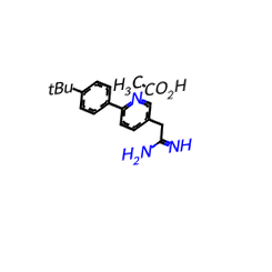 CC(=O)O.CC(C)(C)c1ccc(-c2ccc(CC(=N)N)cn2)cc1